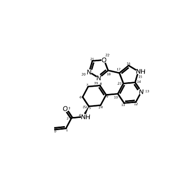 C=CC(=O)N[C@H]1CCC=C(c2ccnc3[nH]cc(-c4nnco4)c23)C1